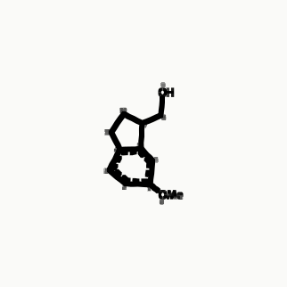 COc1ccc2c(c1)C(CO)CC2